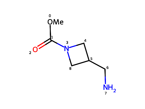 COC(=O)N1CC(CN)C1